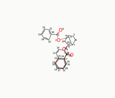 O=C(OC1C2CCC(C(c3ccc4ccccc4c3)C2)C1OC(=O)c1ccccc1)c1ccccc1